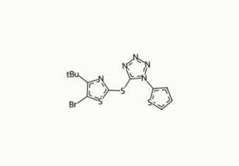 CC(C)(C)c1nc(Sc2nnnn2-c2cccs2)sc1Br